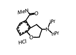 CCCN(C(C)C)C1COc2cccc(C(=O)NC)c2C1.Cl